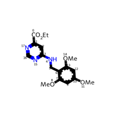 CCOC(=O)c1cc(NCc2c(OC)cc(OC)cc2OC)ncn1